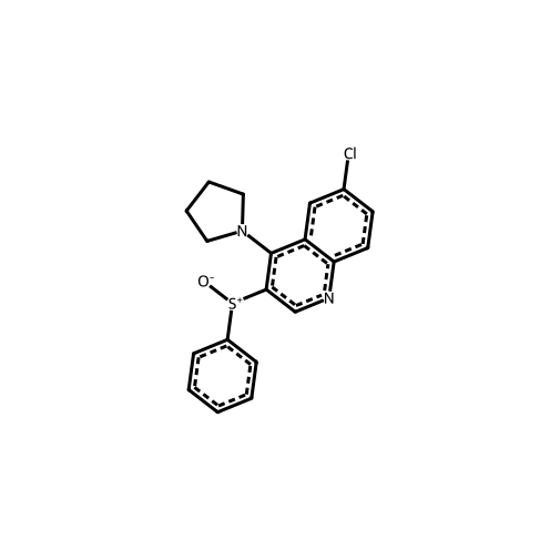 [O-][S+](c1ccccc1)c1cnc2ccc(Cl)cc2c1N1CCCC1